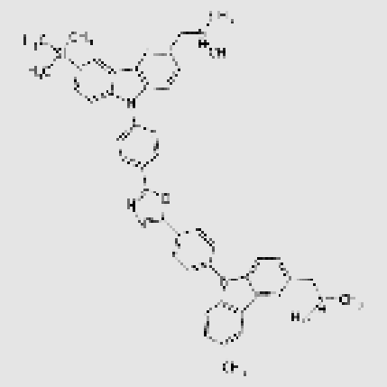 Cc1ccc2c(c1)c1cc(C[SiH](C)C)ccc1n2-c1ccc(-c2nnc(-c3ccc(-n4c5ccc(C[SiH](C)C)cc5c5cc([Si](C)(C)C)ccc54)cc3)o2)cc1